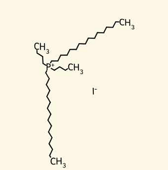 CCCCCCCCCCCCCCCC[P+](CCCC)(CCCC)CCCCCCCCCCCCCCCC.[I-]